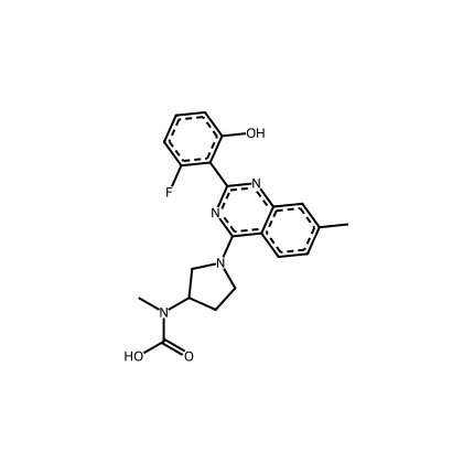 Cc1ccc2c(N3CCC(N(C)C(=O)O)C3)nc(-c3c(O)cccc3F)nc2c1